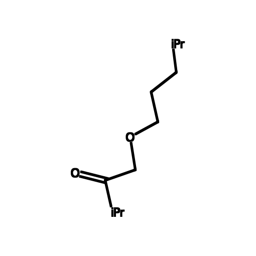 CC(C)CCCOCC(=O)C(C)C